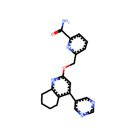 NC(=O)c1cccc(COc2cc(-c3cncnc3)c3c(n2)CCCC3)n1